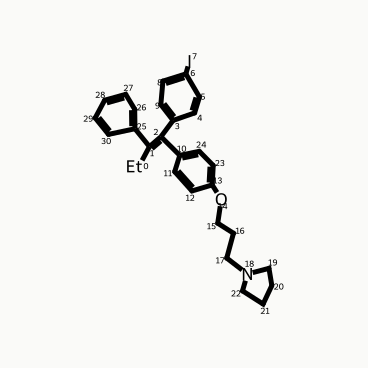 CCC(=C(c1ccc(I)cc1)c1ccc(OCCCN2CCCC2)cc1)c1ccccc1